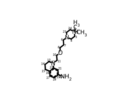 C[N+]1(C)CCN(CCCOCCN2CCCc3ccc(N)cc32)CC1